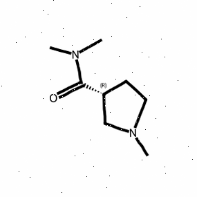 CN1CC[C@@H](C(=O)N(C)C)C1